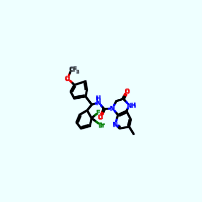 Cc1cnc2c(c1)NC(=O)CN2C(=O)NC(c1ccc(OC(F)(F)F)cc1)C1C=CC=CC1(F)Br